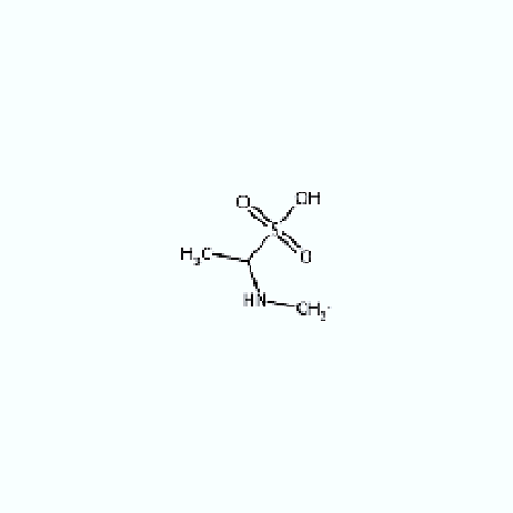 [CH2]NC(C)S(=O)(=O)O